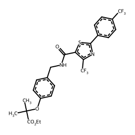 CCOC(=O)C(C)(C)Oc1ccc(CNC(=O)c2sc(-c3ccc(C(F)(F)F)cc3)nc2C(F)(F)F)cc1